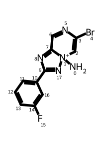 N[N+]12C=C(Br)N=CC1=NC(c1cccc(F)c1)=N2